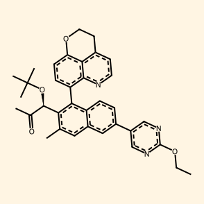 CCOc1ncc(-c2ccc3c(-c4ccc5c6c(ccnc46)CCO5)c([C@H](OC(C)(C)C)C(C)=O)c(C)cc3c2)cn1